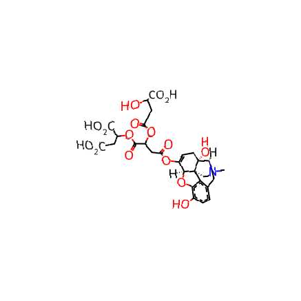 CN1CC[C@]23c4c5ccc(O)c4O[C@H]2C(OC(=O)CC(OC(=O)CC(O)C(=O)O)C(=O)OC(CC(=O)O)C(=O)O)=CC[C@@]3(O)[C@H]1C5